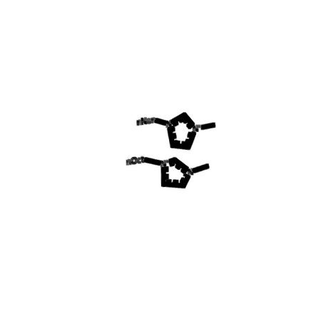 CCCCCCCCCn1cc[n+](C)c1.CCCCCCCC[n+]1ccn(C)c1